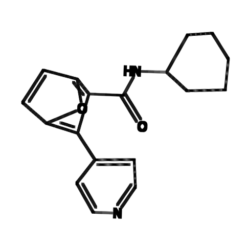 O=C(NC1CCCCC1)c1c(-c2ccncc2)c2ccc1o2